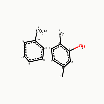 Cc1ccc(C(C)C)c(O)c1.O=C(O)c1ccccc1